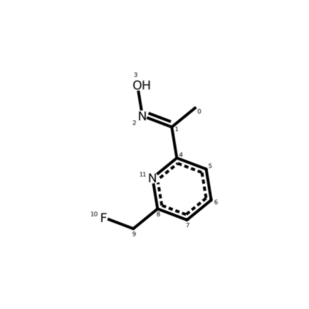 CC(=NO)c1cccc(CF)n1